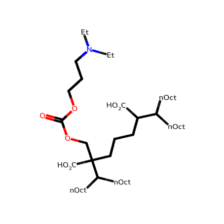 CCCCCCCCC(CCCCCCCC)C(CCCC(COC(=O)OCCCN(CC)CC)(C(=O)O)C(CCCCCCCC)CCCCCCCC)C(=O)O